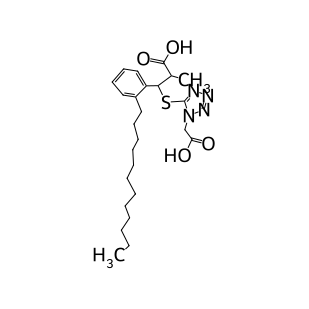 CCCCCCCCCCCCc1ccccc1C(Sc1nnnn1CC(=O)O)C(C)C(=O)O